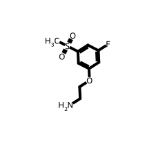 CS(=O)(=O)c1cc(F)cc(OCCN)c1